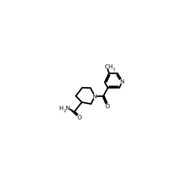 Cc1cncc(C(=O)N2CCCC(C(N)=O)C2)c1